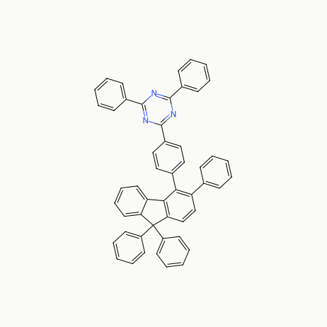 c1ccc(-c2nc(-c3ccccc3)nc(-c3ccc(-c4c(-c5ccccc5)ccc5c4-c4ccccc4C5(c4ccccc4)c4ccccc4)cc3)n2)cc1